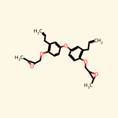 C=CCc1cc(Oc2ccc(OCC3OC3C)c(CC=C)c2)ccc1OCC1OC1C